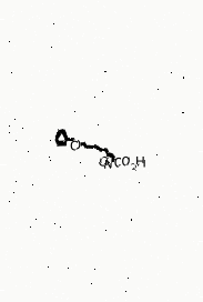 O=C(O)c1cc(CCCCCOCc2ccccc2)on1